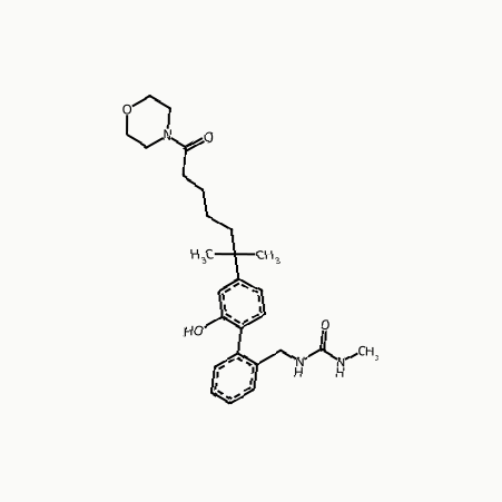 CNC(=O)NCc1ccccc1-c1ccc(C(C)(C)CCCCC(=O)N2CCOCC2)cc1O